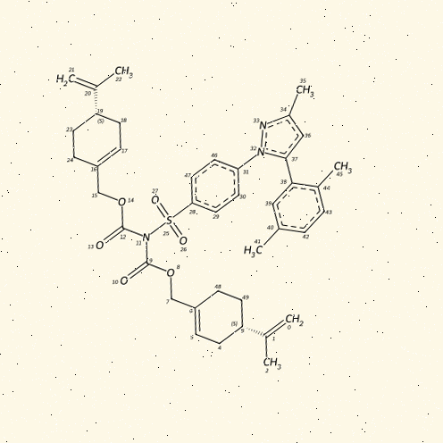 C=C(C)[C@@H]1CC=C(COC(=O)N(C(=O)OCC2=CC[C@@H](C(=C)C)CC2)S(=O)(=O)c2ccc(-n3nc(C)cc3-c3cc(C)ccc3C)cc2)CC1